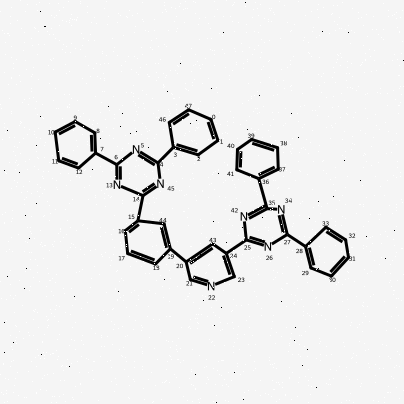 c1ccc(-c2nc(-c3ccccc3)nc(-c3cccc(-c4cncc(-c5nc(-c6ccccc6)nc(-c6ccccc6)n5)c4)c3)n2)cc1